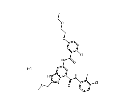 CCOCCOc1ccc(Cl)c(C(=O)Nc2cc(C(=O)Nc3cccc(Cl)c3C)c3nc(COC)[nH]c3c2)c1.Cl